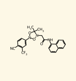 CC1(C)ON(c2ccc(C#N)c(C(F)(F)F)c2)ON1CC(=O)Nc1cccc2ccccc12